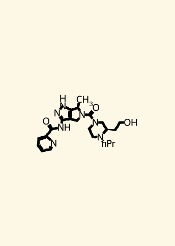 CCCN1CCN(C(=O)N2Cc3c(NC(=O)c4ccccn4)n[nH]c3C2C)C[C@H]1CCO